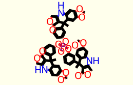 CC1(c2cccc(OP(=O)(Oc3cccc(C4(C)C5=C(COC5=O)Nc5cc6c(cc54)OCO6)c3)Oc3cccc(C4(C)C5=C(COC5=O)Nc5cc6c(cc54)OCO6)c3)c2)C2=C(COC2=O)Nc2cc3c(cc21)OCO3